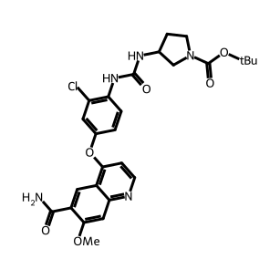 COc1cc2nccc(Oc3ccc(NC(=O)NC4CCN(C(=O)OC(C)(C)C)C4)c(Cl)c3)c2cc1C(N)=O